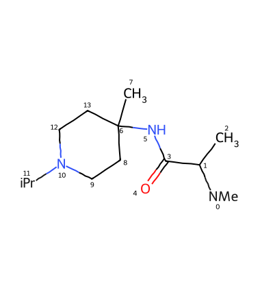 CNC(C)C(=O)NC1(C)CCN(C(C)C)CC1